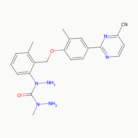 Cc1cc(-c2nccc(C#N)n2)ccc1OCc1c(C)cccc1N(N)C(=O)N(C)N